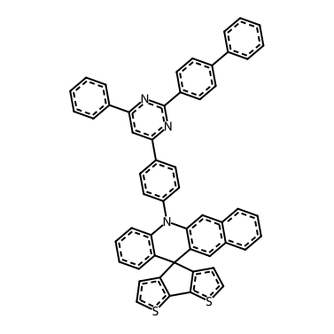 c1ccc(-c2ccc(-c3nc(-c4ccccc4)cc(-c4ccc(N5c6ccccc6C6(c7cc8ccccc8cc75)c5ccsc5-c5sccc56)cc4)n3)cc2)cc1